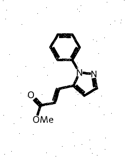 COC(=O)C=Cc1ccnn1-c1ccccc1